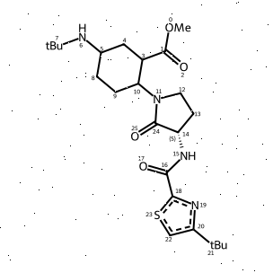 COC(=O)C1CC(NC(C)(C)C)CCC1N1CC[C@H](NC(=O)c2nc(C(C)(C)C)cs2)C1=O